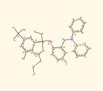 CCCCCC(CC)(Pc1ccc(C)cc1CN(c1ccccc1)c1ccccc1)c1cc(C(C)(C)C)cc(C)c1O